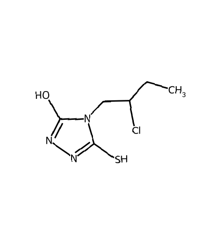 CCC(Cl)Cn1c(O)nnc1S